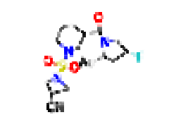 CC(=O)[C@H]1C[C@@H](F)CN1C(=O)[C@H]1CCCN(S(=O)(=O)N2CC(C#N)C2)C1